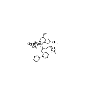 CCCCCC.C[SiH2][Zr+2]([CH]1C(C)=Cc2c(-c3ccccc3)cccc21)[CH]1C(C)=Cc2c(C(C)C)cc(C(C)C)cc21.[Cl-].[Cl-]